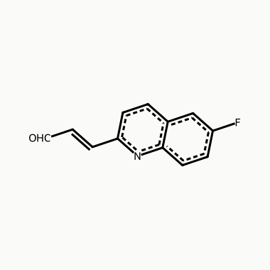 O=CC=Cc1ccc2cc(F)ccc2n1